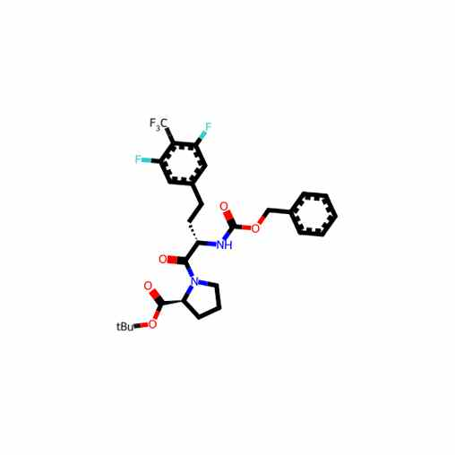 CC(C)(C)OC(=O)[C@@H]1CCCN1C(=O)[C@H](CCc1cc(F)c(C(F)(F)F)c(F)c1)NC(=O)OCc1ccccc1